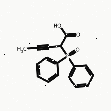 CC#CC(C(=O)O)P(=O)(c1ccccc1)c1ccccc1